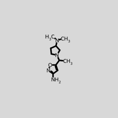 CC(c1cc(N)no1)N1CCC(N(C)C)C1